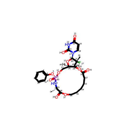 C[C@@H]1N[P@](=O)(Oc2ccccc2)OC[C@H]2O[C@@H](n3ccc(=O)[nH]c3=O)[C@](C)(F)[C@@H]2OC(=O)CCCCCOC1=O